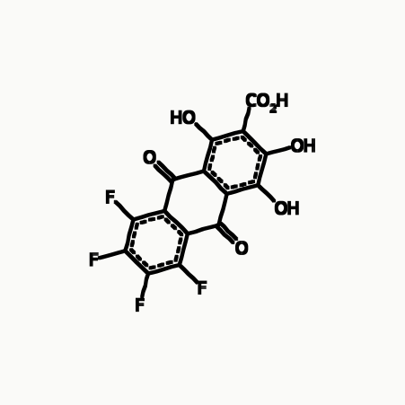 O=C(O)c1c(O)c(O)c2c(c1O)C(=O)c1c(F)c(F)c(F)c(F)c1C2=O